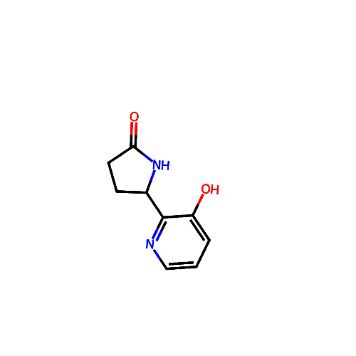 O=C1CCC(c2ncccc2O)N1